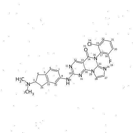 CN(C)C1Cc2ccc(Nc3ncc4c(=O)n(-c5c(F)cccc5Cl)c5nccn5c4n3)cc2C1